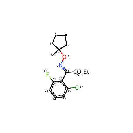 CCOC(=O)/C(=N\OC1(C)CCCC1)c1c(F)cccc1Cl